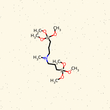 CO[Si](CCCN(C)CCC[Si](OC)(OC)OC)(OC)OC